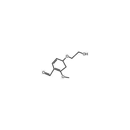 COC1=C(C=O)C=CC(OCCO)C1